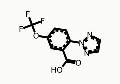 O=C(O)c1cc(OC(F)(F)F)ccc1-n1nccn1